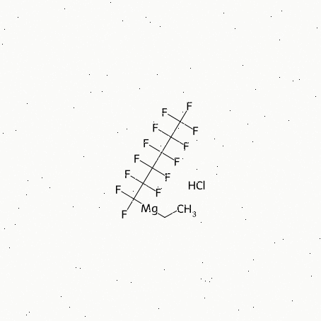 C[CH2][Mg][C](F)(F)C(F)(F)C(F)(F)C(F)(F)C(F)(F)C(F)(F)F.Cl